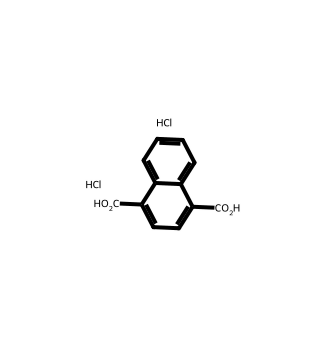 Cl.Cl.O=C(O)c1ccc(C(=O)O)c2ccccc12